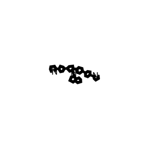 c1ccc(-c2ccc(-c3ccc4c5ccc(-c6ccc(-c7ccccn7)cc6)cc5n(-c5cccc6ccccc56)c4c3)cc2)nc1